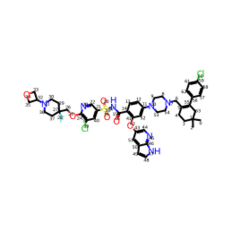 CC1(C)CCC(CN2CCN(c3ccc(C(=O)NS(=O)(=O)c4cnc(OCC5(F)CCN(C6COC6)CC5)c(Cl)c4)c(Oc4cnc5[nH]ccc5c4)c3)CC2)=C(c2ccc(Cl)cc2)C1